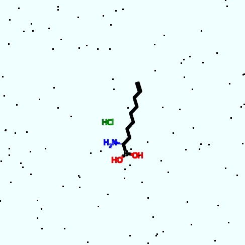 C=CCCCCCC[C@@H](N)B(O)O.Cl